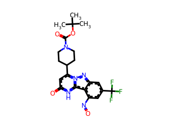 CC(C)(C)OC(=O)N1CCC(c2cc(=O)[nH]c3c4c(N=O)cc(C(F)(F)F)cc4nn23)CC1